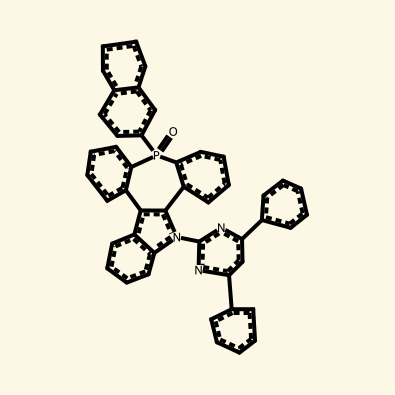 O=P1(c2ccc3ccccc3c2)c2ccccc2-c2c(n(-c3nc(-c4ccccc4)cc(-c4ccccc4)n3)c3ccccc23)-c2ccccc21